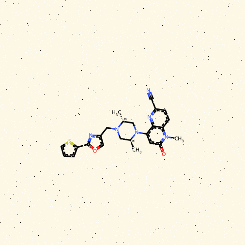 C[C@@H]1CN(c2cc(=O)n(C)c3ccc(C#N)nc23)[C@@H](C)CN1Cc1coc(-c2cccs2)n1